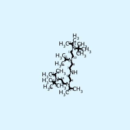 CC(C)N(CCNCCN(CCN(C(C)C)C(C)(C)C)C(C)C)CCN(C(C)C)C(C)(C)C